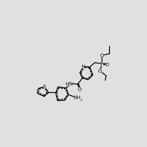 CCOP(=O)(Cc1ccc(C(=O)Nc2cc(-c3cccs3)ccc2N)cn1)OCC